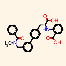 CN(Cc1cccc(-c2ccc(C[C@H](Nc3ccccc3C(=O)O)C(=O)O)cc2)c1)C(=O)c1ccccc1